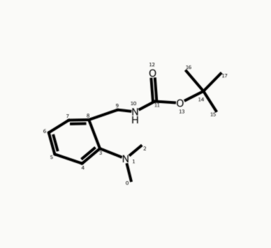 CN(C)c1ccccc1CNC(=O)OC(C)(C)C